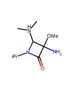 COC1(N)C(=O)N(C(C)C)C1[SiH](C)C